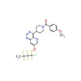 O=C(c1ccc(OC(F)(F)F)cc1)N1CCC(c2ncnc3cc(OSC(F)(F)C(F)(F)C(F)(F)C(F)(F)F)cnc23)CC1